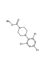 CCc1cc(CC)c(N2CCN(C(=O)OC(C)(C)C)CC2)c(CC)c1